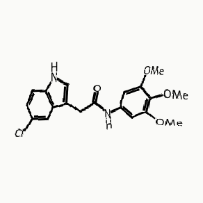 COc1cc(NC(=O)Cc2c[nH]c3ccc(Cl)cc23)cc(OC)c1OC